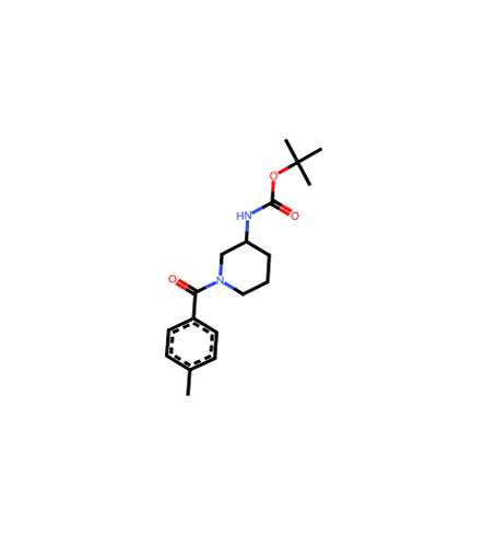 Cc1ccc(C(=O)N2CCCC(NC(=O)OC(C)(C)C)C2)cc1